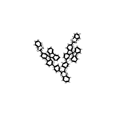 c1ccc2c(c1)-c1ccccc1C21c2cc(-c3ccc(-c4nc5ccccc5nc4-c4ccc(-c5ccc6c(c5)C5(c7ccccc7-c7ccccc75)c5cc(-c7nc8ccccc8o7)ccc5-6)cc4)cc3)ccc2-c2ccc(-c3nc4ccccc4o3)cc21